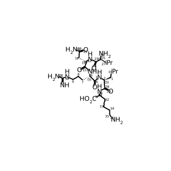 CC(C)C[C@H](NC(=O)[C@H](CCCNC(=N)N)NC(=O)[C@H](CC(N)=O)NC(=O)[C@@H](N)C(C)C)C(=O)N[C@@H](CCCCN)C(=O)O